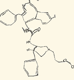 COCCN1CC(NC(=O)Nc2c(-c3ccccc3)nc(C)c3cc(F)ccc23)C(O)(c2ccccc2)C1